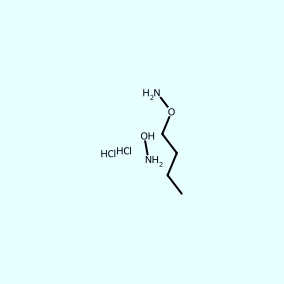 CCCCON.Cl.Cl.NO